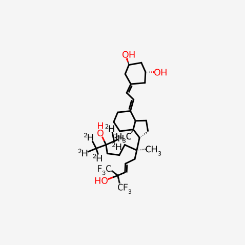 [2H]C([2H])([2H])C(O)(CCC[C@](C)(C/C=C/C(O)(C(F)(F)F)C(F)(F)F)[C@H]1CCC2/C(=C/C=C3C[C@@H](O)C[C@H](O)C3)CCC[C@@]21C)C([2H])([2H])[2H]